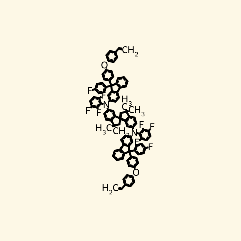 C=Cc1ccc(Oc2ccc(C3(c4ccc(F)cc4)c4ccccc4-c4ccc(N(c5ccc6c(c5)C5(CC6(C)C)CC(C)(C)c6ccc(N(c7ccc8c(c7)C(c7ccc(F)cc7)(c7ccc(Oc9ccc(C=C)cc9)cc7)c7ccccc7-8)c7c(F)ccc(F)c7F)cc65)c5c(F)ccc(F)c5F)cc43)cc2)cc1